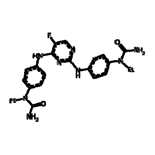 CCN(C(N)=O)c1ccc(Nc2ncc(F)c(Nc3ccc(N(CC)C(N)=O)cc3)n2)cc1